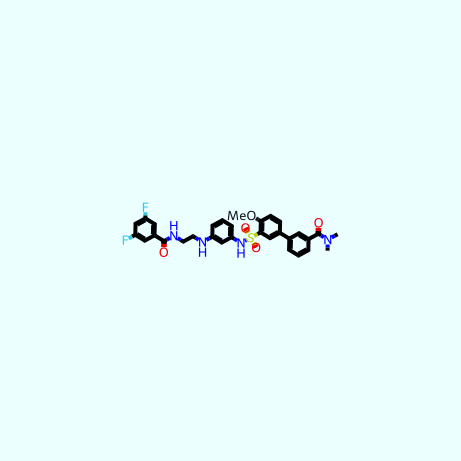 COc1ccc(-c2cccc(C(=O)N(C)C)c2)cc1S(=O)(=O)Nc1cccc(NCCNC(=O)c2cc(F)cc(F)c2)c1